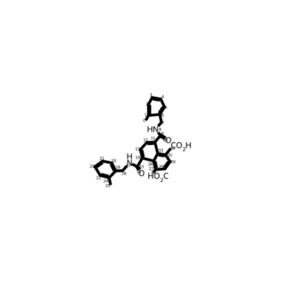 Cc1ccccc1CNC(=O)c1ccc(C(=O)NCc2ccccc2C)c2c(C(=O)O)ccc(C(=O)O)c12